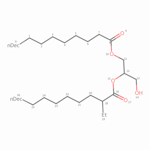 CCCCCCCCCCCCCCCCCC(=O)OCC(CO)OC(=O)C(CC)CCCCCCCCCCCCCCCC